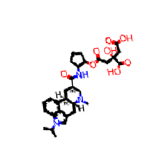 CC(C)n1cc2c3c(cccc31)[C@H]1C[C@@H](C(=O)NC3CCCC3OC(=O)CC(O)(CC(=O)O)C(=O)O)CN(C)[C@@H]1C2